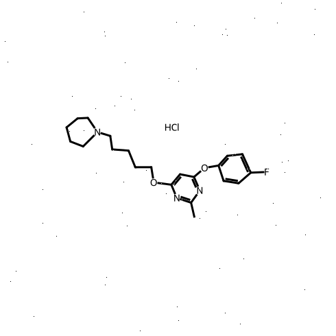 Cc1nc(OCCCCCN2CCCCC2)cc(Oc2ccc(F)cc2)n1.Cl